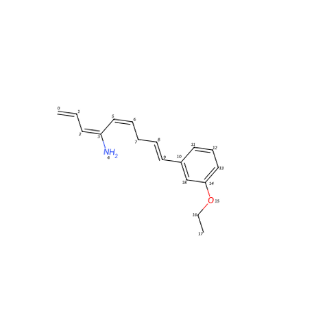 C=C/C=C(N)\C=C/C/C=C/c1cccc(OCC)c1